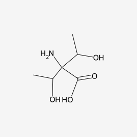 CC(O)C(N)(C(=O)O)C(C)O